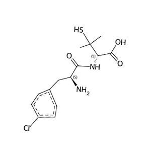 CC(C)(S)[C@@H](NC(=O)[C@@H](N)Cc1ccc(Cl)cc1)C(=O)O